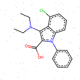 CCN(CC)c1c(C(=O)O)n(-c2ccccc2)c2cccc(Cl)c12